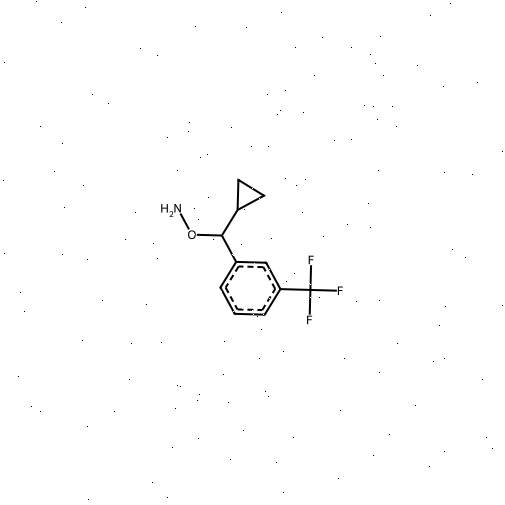 NOC(c1cccc(C(F)(F)F)c1)C1CC1